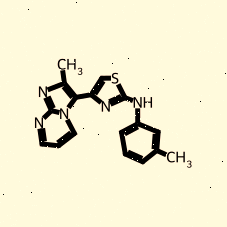 Cc1cccc(Nc2nc(-c3c(C)nc4ncccn34)cs2)c1